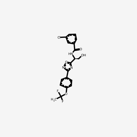 CC(F)(F)Oc1ccc(-c2noc([C@H](CO)NC(=O)c3cccc(Cl)c3)n2)cc1